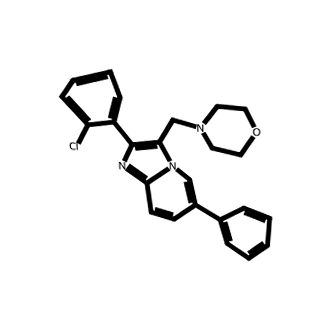 Clc1ccccc1-c1nc2ccc(-c3ccccc3)cn2c1CN1CCOCC1